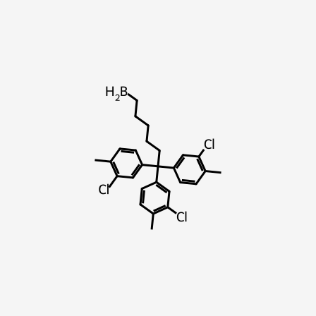 BCCCCCC(c1ccc(C)c(Cl)c1)(c1ccc(C)c(Cl)c1)c1ccc(C)c(Cl)c1